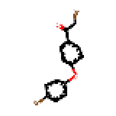 O=C(CBr)c1ccc(Oc2ccc(Br)cc2)cc1